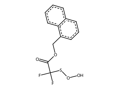 O=C(OCc1cccc2ccccc12)C(F)(F)SOO